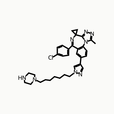 Cc1nnc2n1-c1ccc(-c3cnn(CCCCCCCN4CCNCC4)c3)cc1C(c1ccc(Cl)cc1)=NC21CC1